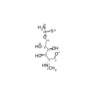 CN[C@@H](C=O)[C@@H](O)[C@H](O)[C@H](O)COC(N)=S